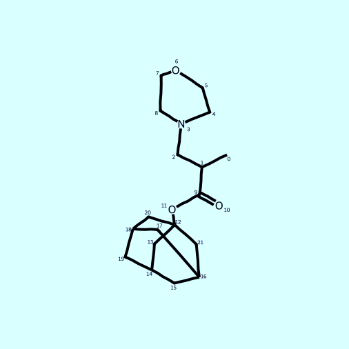 CC(CN1CCOCC1)C(=O)OC12CC3CC(CC(C3)C1)C2